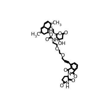 C[C@H]1C=C2C=C[C@H](C)[C@H](CC[C@@H]3C[C@@H](O)CC(=O)O3)[C@H]2[C@@H](OC(=O)NCCOCCOCC#Cc2cccc3c2C(=O)N(C2CCC(=O)NC2=O)C3=O)C1